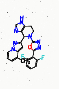 Cc1cccn2nc(C3c4nc[nH]c4CCN3c3nnc(-c4c(F)cccc4F)o3)cc12